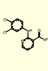 NC(=O)c1cccnc1Nc1ccc(Cl)c(Cl)c1